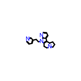 c1cncc(CCn2c3c(c4cccnc42)C2CCCN2CC3)c1